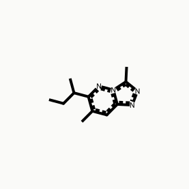 CCC(C)c1nn2c(C)nnc2cc1C